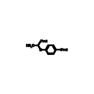 CCCC(C)c1ccc(OC(C(=O)O)C(C)CCC)cc1